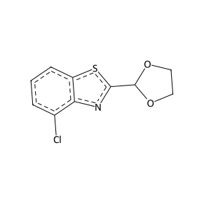 Clc1cccc2sc(C3OCCO3)nc12